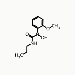 CCCNC(=O)N(O)c1ccccc1OC